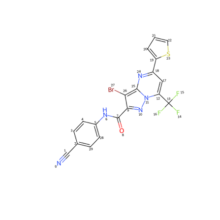 N#Cc1ccc(NC(=O)c2nn3c(C(F)(F)F)cc(-c4cccs4)nc3c2Br)cc1